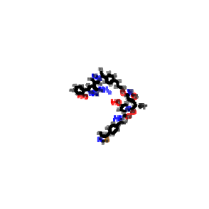 Cc1ncsc1-c1ccc([C@H](C)NC(=O)[C@@H]2C[C@@H](O)CN2C(=O)[C@@H](c2cc(OCCCc3ccc(C(C)n4cc(-c5cc(-c6ccccc6O)nnc5N)cn4)cc3)no2)C(C)C)cc1